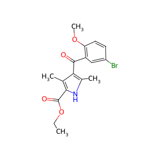 CCOC(=O)c1[nH]c(C)c(C(=O)c2cc(Br)ccc2OC)c1C